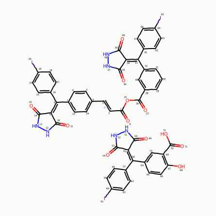 O=C(/C=C/c1ccc(C(=C2C(=O)NNC2=O)c2ccc(I)cc2)cc1)OC(=O)c1cccc(C(=C2C(=O)NNC2=O)c2ccc(I)cc2)c1.O=C1NNC(=O)C1=C(c1ccc(I)cc1)c1ccc(O)c(C(=O)O)c1